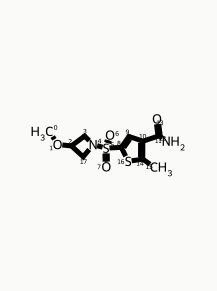 COC1CN(S(=O)(=O)c2cc(C(N)=O)c(C)s2)C1